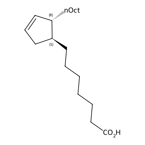 CCCCCCCC[C@H]1C=CC[C@@H]1CCCCCCC(=O)O